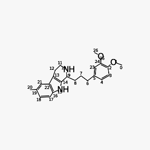 COc1ccc(CCCC2NCCc3c2[nH]c2ccc(C)cc32)cc1OC